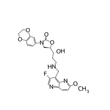 COc1ccc2ncc(F)c(CNCC[C@@H](O)[C@H]3CN(c4ccc5c(c4)OCCO5)C(=O)O3)c2n1